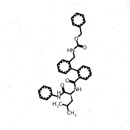 CC(C)C[C@H](NC(=O)c1ccccc1-c1ccccc1CNC(=O)OCc1ccccc1)C(=O)Nc1ccccc1